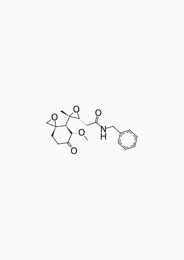 CO[C@@H]1C(=O)CC[C@]2(CO2)[C@H]1[C@]1(C)O[C@@H]1CC(=O)NCc1ccccc1